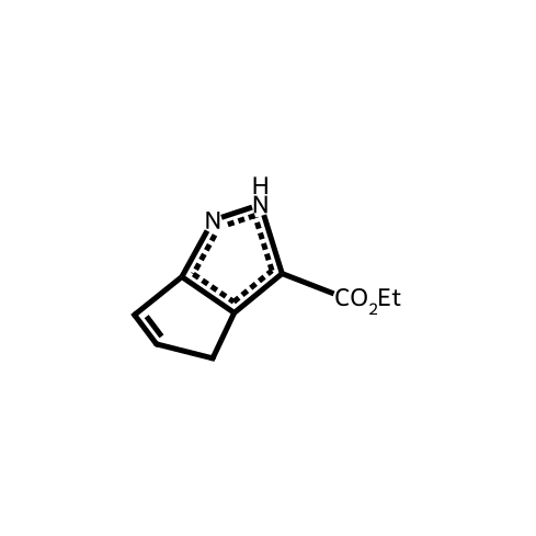 CCOC(=O)c1[nH]nc2c1CC=C2